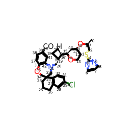 C[C@@H](CSc1ncccn1)O[C@@H]1CCO[C@@H]([C@@H]2CC[C@H]2CN2CC3(CCCc4cc(Cl)ccc43)COc3ccc(C(=O)O)cc32)C1